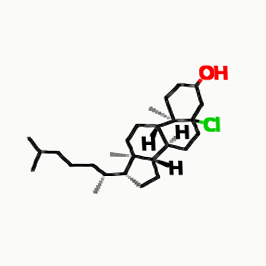 CC(C)CCC[C@@H](C)[C@H]1CC[C@H]2[C@@H]3CCC4(Cl)CC(O)CC[C@]4(C)[C@H]3CC[C@]12C